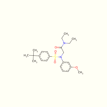 CCN(CC)C(=O)CN(c1cccc(OC)c1)S(=O)(=O)c1ccc(C(C)(C)C)cc1